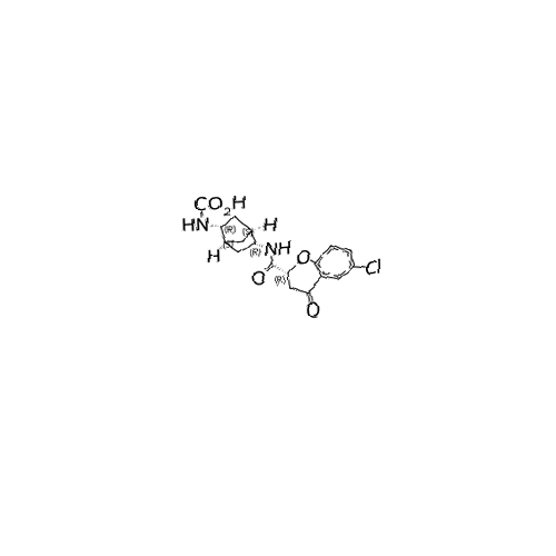 O=C(O)N[C@@H]1C[C@@H]2C[C@H]1C[C@H]2NC(=O)[C@H]1CC(=O)c2cc(Cl)ccc2O1